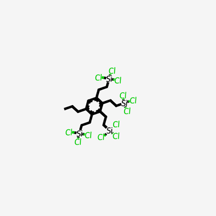 CCCc1cc(CC[Si](Cl)(Cl)Cl)c(CC[Si](Cl)(Cl)Cl)c(CC[Si](Cl)(Cl)Cl)c1CC[Si](Cl)(Cl)Cl